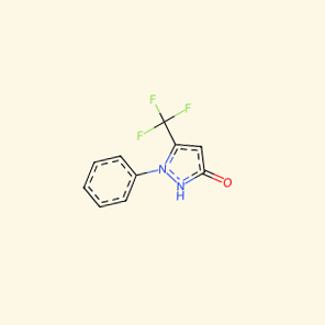 O=c1cc(C(F)(F)F)n(-c2ccccc2)[nH]1